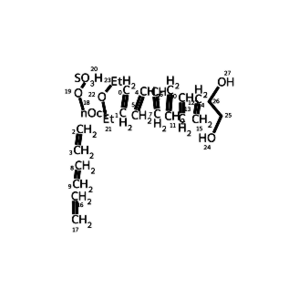 C=C.C=C.C=C.C=C.C=C.C=C.C=C.C=C.C=C.CCCCCCCCOS(=O)(=O)O.CCOCC.OCCO